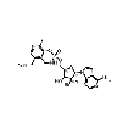 CC(=O)OCc1cnc(C)c2c1CNP(=O)(OC[C@H]1O[C@@H](n3ccc4c(N)ncnc43)[C@@](F)(Br)C1O)O2